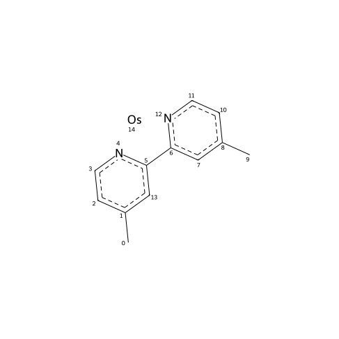 Cc1ccnc(-c2cc(C)ccn2)c1.[Os]